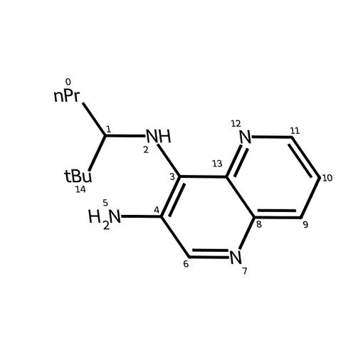 [CH2]CCC(Nc1c(N)cnc2cccnc12)C(C)(C)C